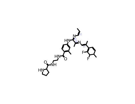 C\C=C/N=C(Nc1ccc(C(=O)NCCNC(=O)C2CCCN2)c(C)c1)\C(C)=N\C=C(/C)C1=C(F)C(F)C(C)C=C1